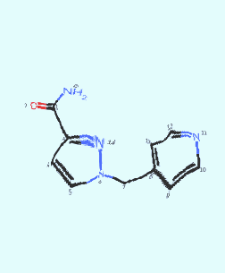 NC(=O)c1[c]cn(Cc2ccncc2)n1